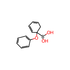 OB(O)C1(Oc2ccccc2)C=CC=CC1